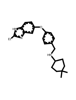 CCc1nc2cc(Oc3ccc(CNC4CCC(C)(C)CC4)cc3)ccc2[nH]1